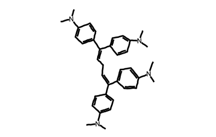 CN(C)c1ccc(C(=CCC=C(c2ccc(N(C)C)cc2)c2ccc(N(C)C)cc2)c2ccc(N(C)C)cc2)cc1